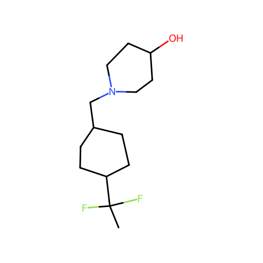 CC(F)(F)C1CCC(CN2CCC(O)CC2)CC1